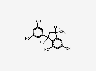 CC1(C)CC(C)(c2cc(O)cc(O)c2)c2c(O)cc(O)cc21